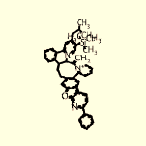 C=C1C2C(CCc3cc4oc5nc(-c6ccccc6)ccc5c4cc3-c3cccc[n+]31)c1ccccc1-c1cc(CC(C)C)c([Si](C)(C)C)c[n+]12